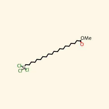 COC(=O)CCCCCCCCCCCCCCCCCCC[Si](Cl)(Cl)Cl